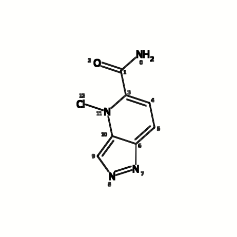 NC(=O)c1ccc2nncc-2n1Cl